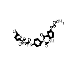 NOOSc1ccc2[nH]c(=O)n(-c3ccc(NC(=O)NS(=O)(=O)c4ccc(Cl)s4)cc3)c(=O)c2c1